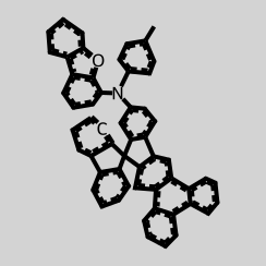 Cc1ccc(N(c2ccc3c(c2)C2(c4ccccc4-c4ccccc42)c2cc4c5ccccc5c5ccccc5c4cc2-3)c2cccc3c2oc2ccccc23)cc1